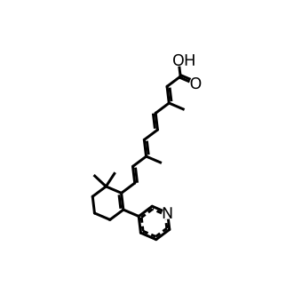 CC(/C=C/C1=C(c2cccnc2)CCCC1(C)C)=C\C=C\C(C)=C\C(=O)O